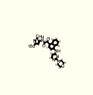 Cn1nc(C(C)(C)C)cc1NC(=O)C(=O)c1ccc(Nc2ccnc(N3CCOCC3)n2)c2ccccc12